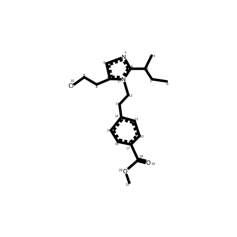 CCC(C)c1ncc(CCCl)n1CCc1ccc(C(=O)OC)cc1